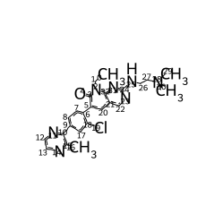 CCn1c(=O)c(-c2ccc(-c3nccnc3C)cc2Cl)cc2cnc(NCCN(C)C)nc21